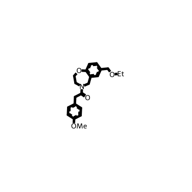 CCOCc1ccc2c(c1)CN(C(=O)Cc1ccc(OC)cc1)CCO2